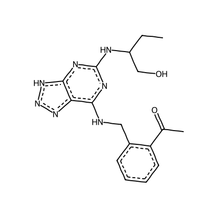 CCC(CO)Nc1nc(NCc2ccccc2C(C)=O)c2nn[nH]c2n1